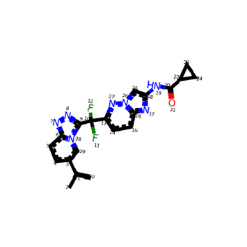 C=C(C)c1ccc2nnc(C(F)(F)c3ccc4nc(NC(=O)C5CC5)cn4n3)n2c1